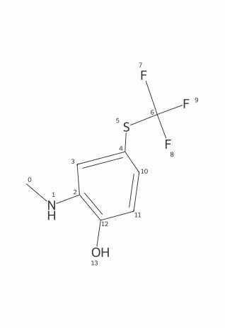 CNc1cc(SC(F)(F)F)ccc1O